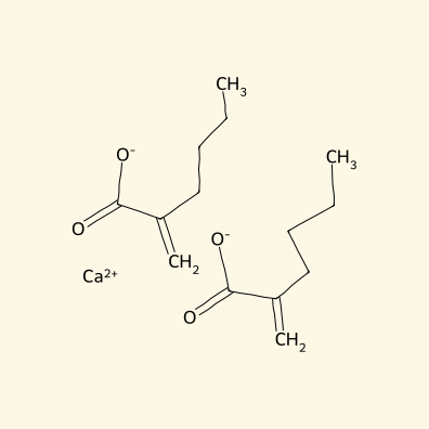 C=C(CCCC)C(=O)[O-].C=C(CCCC)C(=O)[O-].[Ca+2]